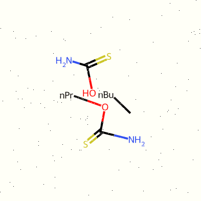 CCCCC.CCCOC(N)=S.NC(O)=S